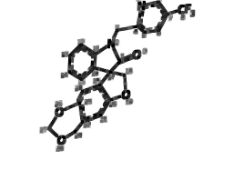 O=C1N(Cc2ccc(C(F)(F)F)cn2)c2ccccc2C12COc1cc3c(cc12)OCOC3